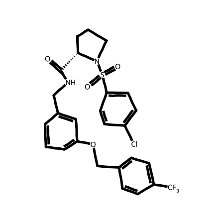 O=C(NCc1cccc(OCc2ccc(C(F)(F)F)cc2)c1)[C@@H]1CCCN1S(=O)(=O)c1ccc(Cl)cc1